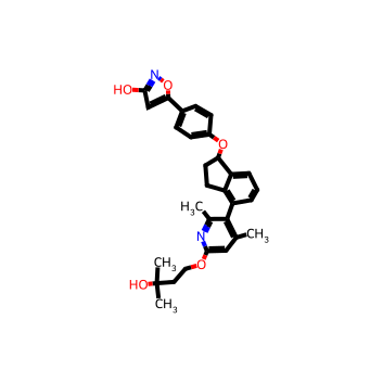 Cc1cc(OCCC(C)(C)O)nc(C)c1-c1cccc2c1CCC2Oc1ccc(-c2cc(O)no2)cc1